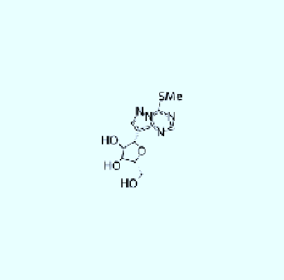 CSc1ncnc2c([C@@H]3O[C@H](CO)[C@@H](O)[C@H]3O)cnn12